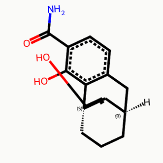 NC(=O)c1ccc2c(c1O)[C@]13CCC[C@H](C2)C1C=CC(O)C3